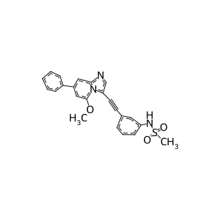 COc1cc(-c2ccccc2)cc2ncc(C#Cc3cccc(NS(C)(=O)=O)c3)n12